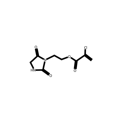 C=C(Cl)C(=O)OCCN1C(=O)CNC1=O